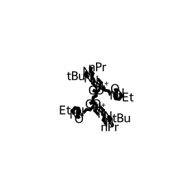 CCCc1cc(N2CC[N+](CCCCn3ccc(CC)nc3=O)(OC(=O)/C=C/C(=O)O[N+]3(CCCCn4ccc(CC)nc4=O)CCN(c4cc(CCC)nc(C(C)(C)C)n4)CC3)CC2)nc(C(C)(C)C)n1